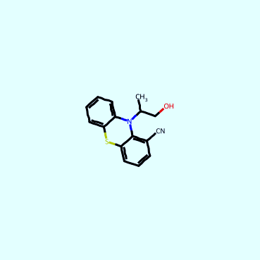 CC(CO)N1c2ccccc2Sc2cccc(C#N)c21